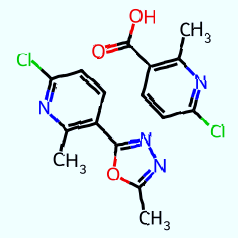 Cc1nc(Cl)ccc1C(=O)O.Cc1nnc(-c2ccc(Cl)nc2C)o1